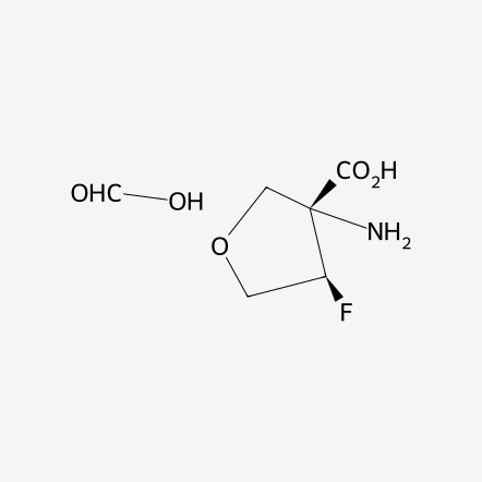 N[C@@]1(C(=O)O)COC[C@@H]1F.O=CO